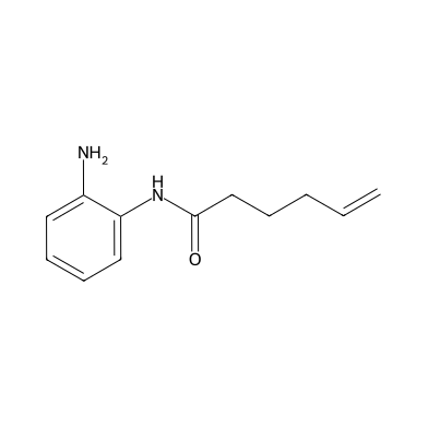 C=CCCCC(=O)Nc1ccccc1N